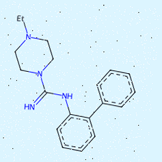 CCN1CCN(C(=N)Nc2ccccc2-c2ccccc2)CC1